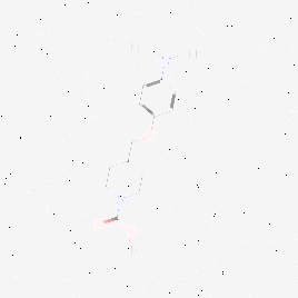 CN(C)c1ccc(OCC2CCN(C(=O)OC(C)(C)C)CC2)cc1